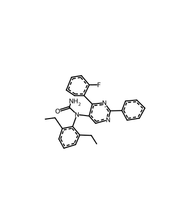 CCc1cccc(CC)c1N(C(N)=O)c1cnc(-c2ccccc2)nc1-c1ccccc1F